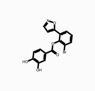 O=C(Oc1c(Br)cccc1-c1ccno1)c1ccc(O)c(O)c1